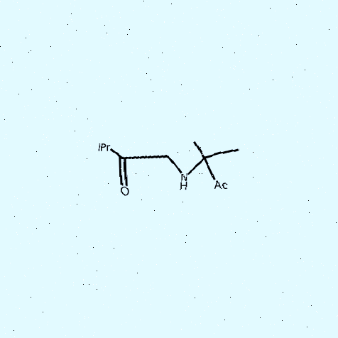 CC(=O)C(C)(C)NCC(=O)C(C)C